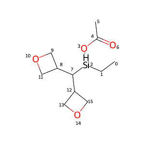 CC[SiH](OC(C)=O)C(C1COC1)C1COC1